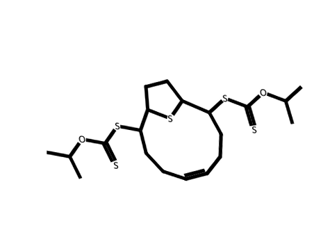 CC(C)OC(=S)SC1CCC=CCCC(SC(=S)OC(C)C)C2CCC1S2